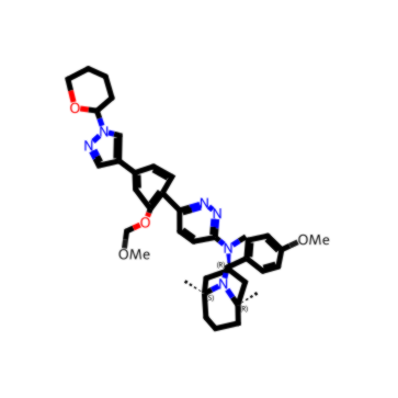 COCOc1cc(-c2cnn(C3CCCCO3)c2)ccc1-c1ccc(N(C)[C@@H]2C[C@]3(C)CCC[C@](C)(C2)N3Cc2ccc(OC)cc2)nn1